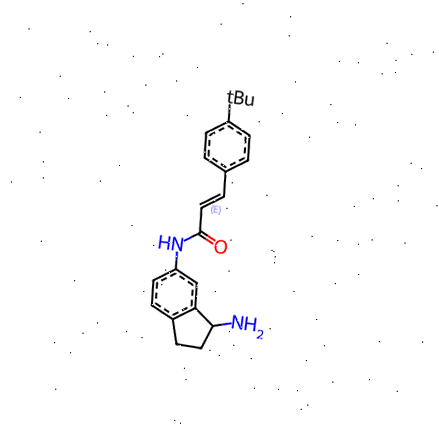 CC(C)(C)c1ccc(/C=C/C(=O)Nc2ccc3c(c2)C(N)CC3)cc1